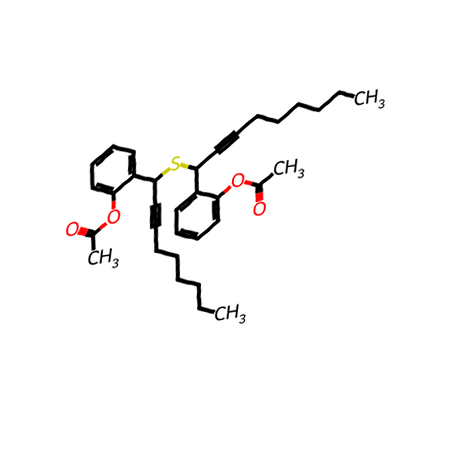 CCCCCCC#CC(SC(C#CCCCCCC)c1ccccc1OC(C)=O)c1ccccc1OC(C)=O